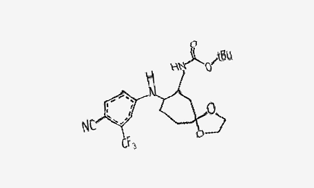 CC(C)(C)OC(=O)NC1CC2(CCC1Nc1ccc(C#N)c(C(F)(F)F)c1)OCCO2